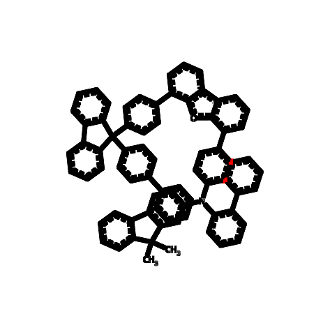 CC1(C)c2ccccc2-c2ccc(N(c3ccc(-c4cccc5c4oc4c(-c6ccc(C7(c8ccc(-c9ccccc9)cc8)c8ccccc8-c8ccccc87)cc6)cccc45)cc3)c3ccccc3-c3ccccc3)cc21